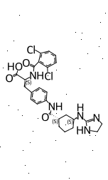 O=C(N[C@@H](Cc1ccc(NC(=O)[C@H]2CCC[C@H](NC3=NCCN3)C2)cc1)C(=O)O)c1c(Cl)cccc1Cl